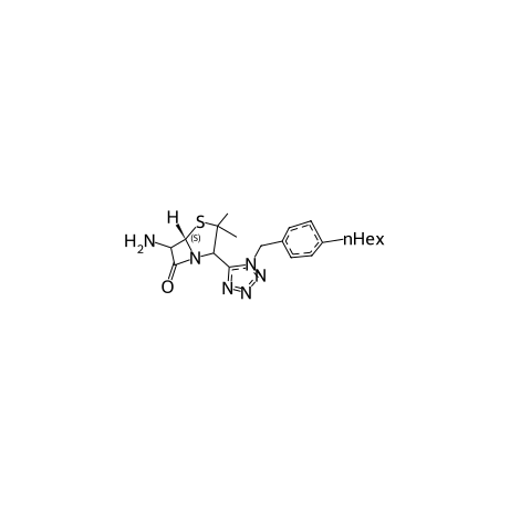 CCCCCCc1ccc(Cn2nnnc2C2N3C(=O)C(N)[C@@H]3SC2(C)C)cc1